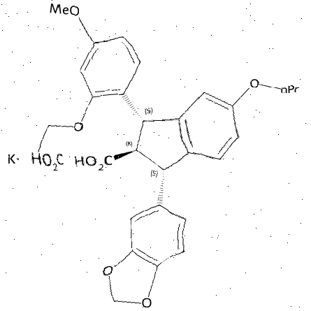 CCCOc1ccc2c(c1)[C@@H](c1ccc(OC)cc1OCC(=O)O)[C@H](C(=O)O)[C@H]2c1ccc2c(c1)OCO2.[K]